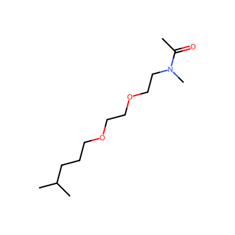 CC(=O)N(C)CCOCCOCCCC(C)C